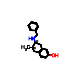 C[C@H]1Cc2ccc(O)cc2C[C@@H]1NCc1ccccc1